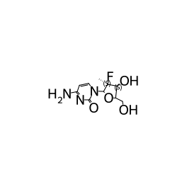 C[C@@]1(F)C(n2ccc(N)nc2=O)OC(CO)[C@@H]1O